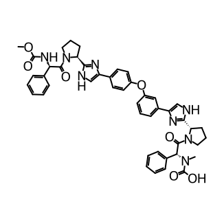 COC(=O)N[C@@H](C(=O)N1CCC[C@H]1c1nc(-c2ccc(Oc3cccc(-c4c[nH]c([C@@H]5CCCN5C(=O)[C@@H](c5ccccc5)N(C)C(=O)O)n4)c3)cc2)c[nH]1)c1ccccc1